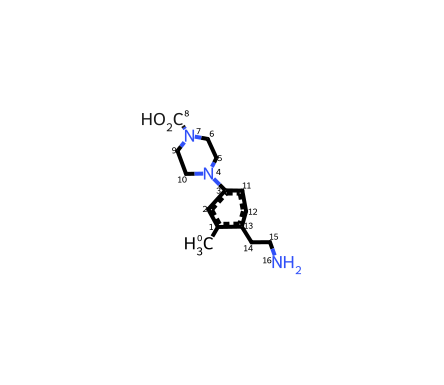 Cc1cc(N2CCN(C(=O)O)CC2)ccc1CCN